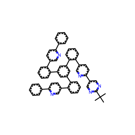 CC(C)(C)c1ncc(-c2ccc(-c3ccccc3-c3cc(-c4ccccc4-c4ccc(-c5ccccc5)nc4)cc(-c4ccccc4-c4ccc(-c5ccccc5)nc4)c3)cn2)cn1